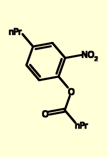 CCCC(=O)Oc1ccc(CCC)cc1[N+](=O)[O-]